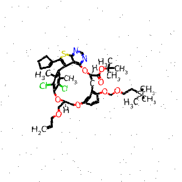 C=CCOC[C@@H]1COc2ccc(OCOCC[Si](C)(C)C)c(c2)C[C@H](C(=O)OC(C)(C)C)Oc2ncnc3sc(C4=CCCC4)c(c23)-c2c(C)c(Cl)c(c(Cl)c2C)O1